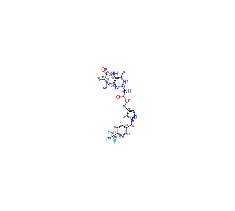 Cc1nc(NC(=O)OCc2cnn(Cc3ccc(C(F)(F)F)nc3)c2)nc2c1NC(=O)[C@H](C)N2C